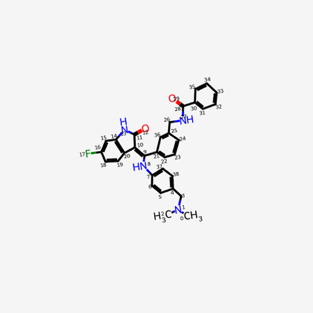 CN(C)Cc1ccc(NC(=C2C(=O)Nc3cc(F)ccc32)c2cccc(CNC(=O)c3ccccc3)c2)cc1